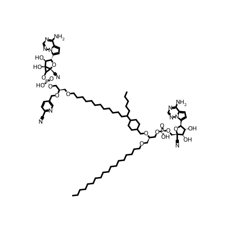 CCCCCCCCCCCCCCCCCCOC[C@H](COP(=O)(O)OC[C@@]1(C#N)O[C@@H](c2ccc3c(N)ncnn23)[C@H](O)[C@@H]1O)OCC1CCC(C(CCCCC)CCCCCCCCCCCCOC[C@H](COP(=O)(O)OC2[C@@]3(C#N)O[C@@H](c4ccc5c(N)ncnn45)[C@H](O)[C@@]23O)OCc2ccc(C#N)nc2)CC1